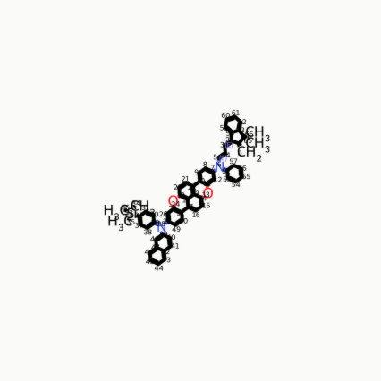 C=C1/C(=C\C=C\N(c2ccc3c(c2)Oc2ccc4c5c(ccc-3c25)Oc2cc(N(c3ccc([Si](C)(C)C)cc3)c3ccc5ccccc5c3)ccc2-4)C2C=CC=CC2)c2ccccc2C1(C)C